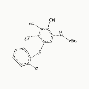 CCCCNc1cc(Sc2ccccc2Cl)c(Cl)c(C#N)c1C#N